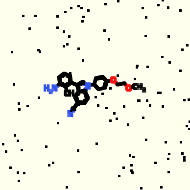 COCCOC1=CCC(n2cc(-c3cccc(N)c3C)c3cc(C#N)ccc32)C=C1